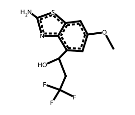 COc1cc(C(O)CC(F)(F)F)c2nc(N)sc2c1